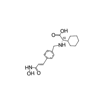 O=C(C=Cc1ccc(CN[C@H](C(=O)O)C2CCCCC2)cc1)NO